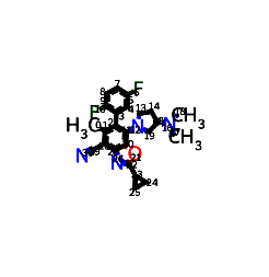 Cc1c(-c2cc(F)ccc2F)c(N2CC[C@H](N(C)C)C2)c2oc(C3CC3)nc2c1C#N